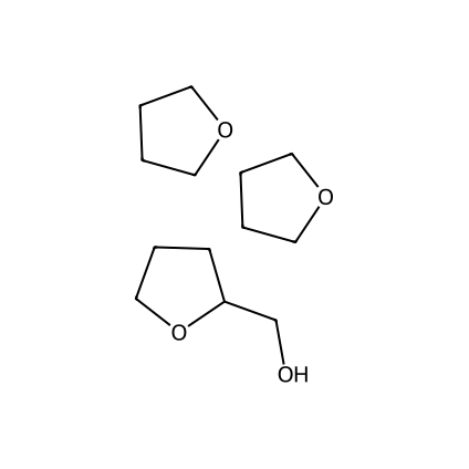 C1CCOC1.C1CCOC1.OCC1CCCO1